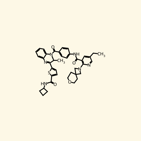 CCc1cnc(N2CC3(CCOCC3)C2)c(C(=O)Nc2ccc(C(=O)N3c4ccccc4N=C(c4ccc(C(=O)NC5CCC5)s4)C3C)cc2)c1